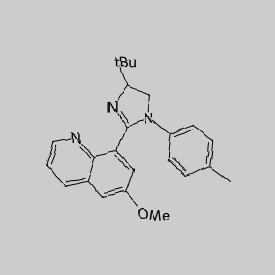 COc1cc(C2=NC(C(C)(C)C)CN2c2ccc(C)cc2)c2ncccc2c1